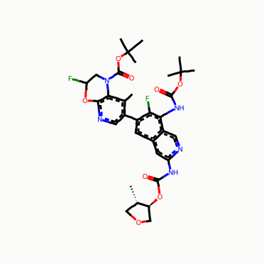 Cc1c(-c2cc3cc(NC(=O)O[C@H]4COC[C@@H]4C)ncc3c(NC(=O)OC(C)(C)C)c2F)cnc2c1N(C(=O)OC(C)(C)C)CC(F)O2